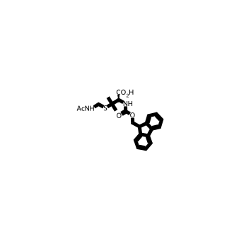 CC(=O)NCSC(C)(C)[C@H](NC(=O)OCC1c2ccccc2-c2ccccc21)C(=O)O